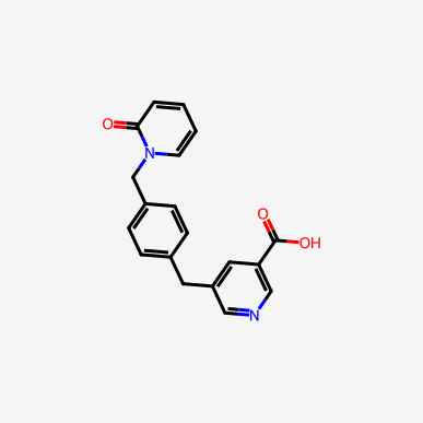 O=C(O)c1cncc(Cc2ccc(Cn3ccccc3=O)cc2)c1